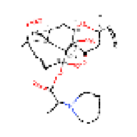 C=C[C@@]1(C)CC(=O)[C@]2(O)[C@]3(C)[C@@H]([C@H](O)C[C@@]2(C)O1)C(C)(C)CC[C@@]3(O)OC(=O)C(C)N1CCCCC1